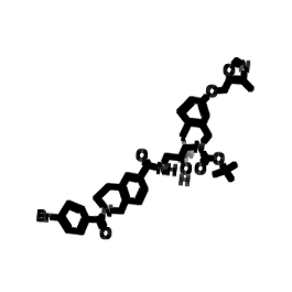 Cc1ncoc1COc1ccc2c(c1)CN(C(=O)OC(C)(C)C)[C@H]([C@H](O)CNC(=O)c1ccc3c(c1)CCN(C(=O)c1ccc(Br)cc1)C3)C2